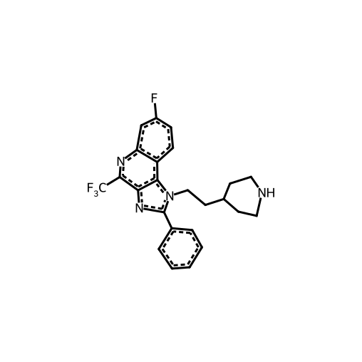 Fc1ccc2c(c1)nc(C(F)(F)F)c1nc(-c3ccccc3)n(CCC3CCNCC3)c12